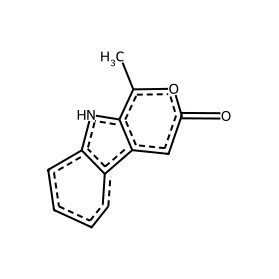 Cc1oc(=O)cc2c1[nH]c1ccccc12